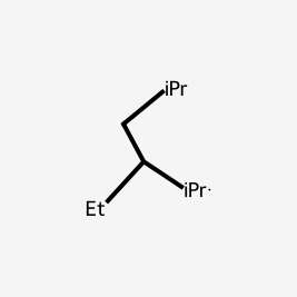 CCC(CC(C)C)[C](C)C